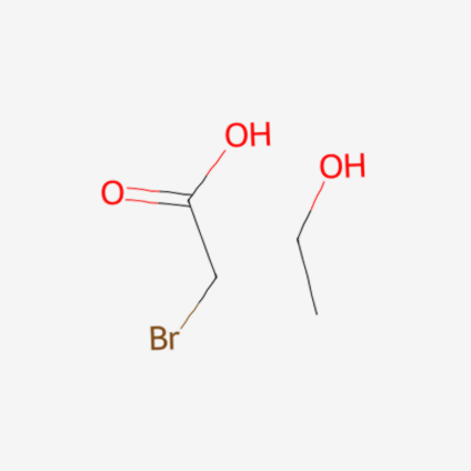 CCO.O=C(O)CBr